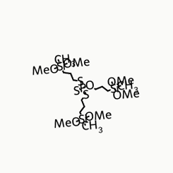 CO[Si](C)(CCCOP(=S)(SCCC[Si](C)(OC)OC)SCCC[Si](C)(OC)OC)OC